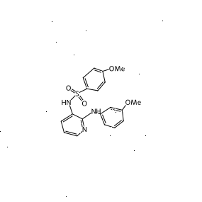 COc1ccc(S(=O)(=O)Nc2cccnc2Nc2cccc(OC)c2)cc1